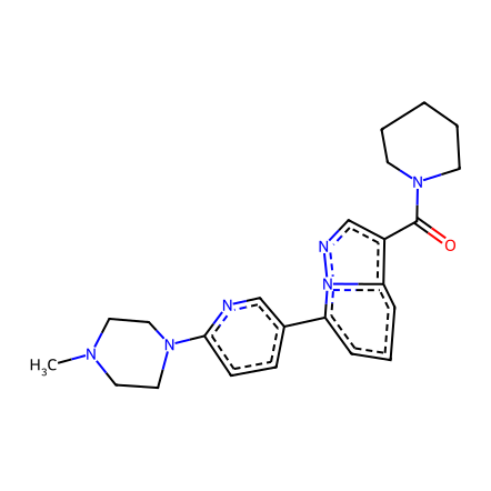 CN1CCN(c2ccc(-c3cccc4c(C(=O)N5CCCCC5)cnn34)cn2)CC1